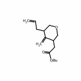 C=CCC1COCC(CC(=O)OCC(C)C)C1=C